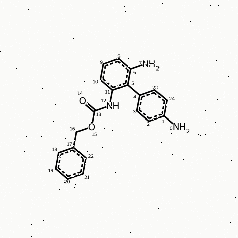 Nc1ccc(-c2c(N)cccc2NC(=O)OCc2ccccc2)cc1